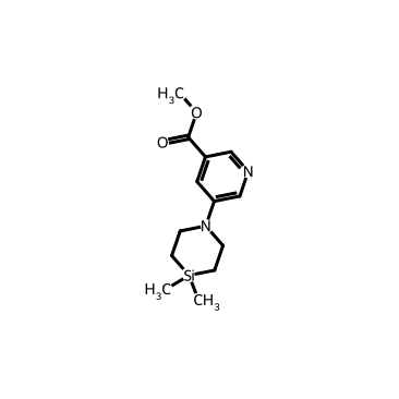 COC(=O)c1cncc(N2CC[Si](C)(C)CC2)c1